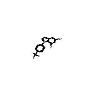 FC(F)(F)c1ccc(-n2ccc3cc(Br)cc(Cl)c32)cc1